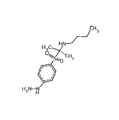 CCCCNC(C)(C)S(=O)(=O)c1ccc(NN)cc1